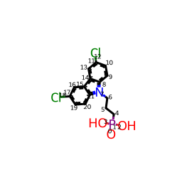 O=P(O)(O)CCCn1c2ccc(Cl)cc2c2cc(Cl)ccc21